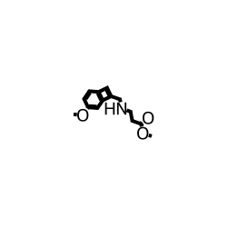 COC(=O)CCNCC1=Cc2ccc(OC)cc21